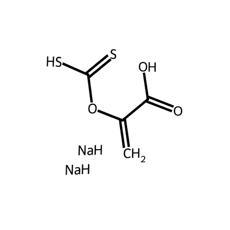 C=C(OC(=S)S)C(=O)O.[NaH].[NaH]